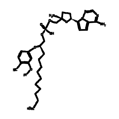 CCCCCCCCCCCCCCCCCCC[C@H](COP(=O)(O)OC[C@]1(N)CC[C@H](c2ccc3c(N)ncnn23)O1)Oc1ccc(C#N)c(OC(C)C)c1